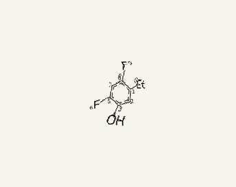 CCc1cc(O)c(F)cc1F